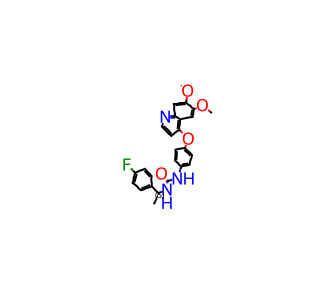 COc1cc2nccc(Oc3ccc(NC(=O)N[C@@H](C)c4ccc(F)cc4)cc3)c2cc1OC